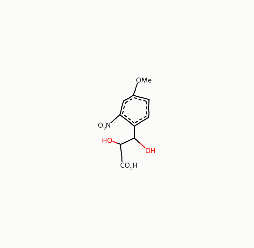 COc1ccc(C(O)C(O)C(=O)O)c([N+](=O)[O-])c1